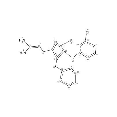 CC(C)c1nc(CN=C(N)N)n(Cc2cccnc2)c1Sc1cccc(Cl)c1